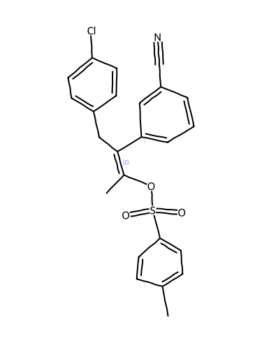 C/C(OS(=O)(=O)c1ccc(C)cc1)=C(\Cc1ccc(Cl)cc1)c1cccc(C#N)c1